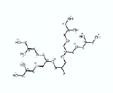 CC(COC(COCC(O)CO)COCC(O)CO)COC(COCC(O)CO)COCC(O)CO